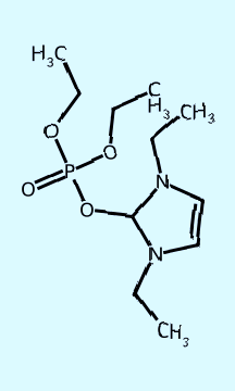 CCOP(=O)(OCC)OC1N(CC)C=CN1CC